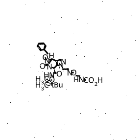 CC(C)(C)[Si](C)(C)ONC(=O)[C@@H]1c2c(cnn2CC=NOCCNC(=O)O)[C@@H]2CN1C(=O)N2OCc1ccccc1